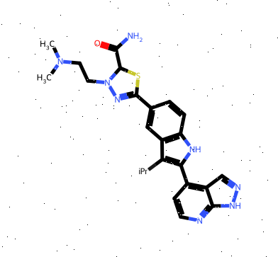 CC(C)c1c(-c2ccnc3[nH]ncc23)[nH]c2ccc(C3=NN(CCN(C)C)C(C(N)=O)S3)cc12